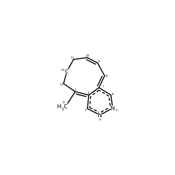 C\C1=c2/cnnc/c2=C/C=C\CCC1